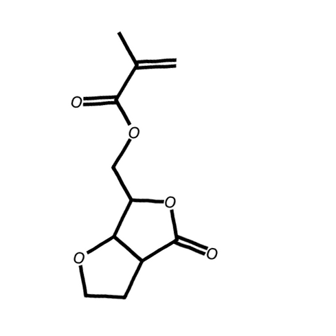 C=C(C)C(=O)OCC1OC(=O)C2CCOC12